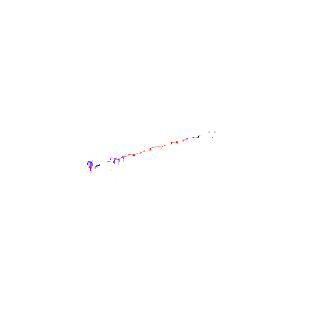 COCCOCCOCCOCCOCCOCCOCCOCCC(=O)NCCC[C@H](C(=O)O)N1C(=O)C=CC1=O